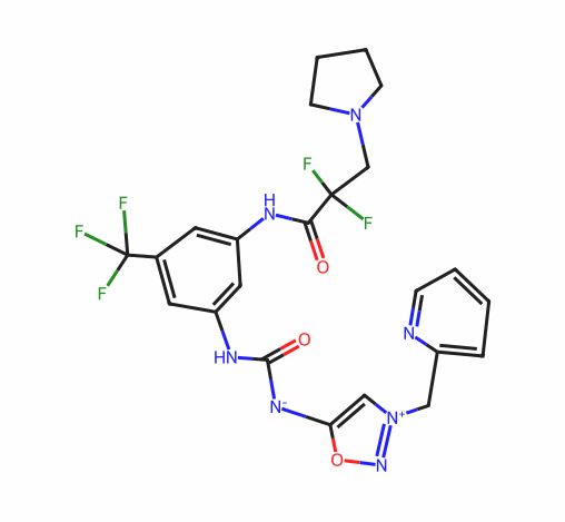 O=C([N-]c1c[n+](Cc2ccccn2)no1)Nc1cc(NC(=O)C(F)(F)CN2CCCC2)cc(C(F)(F)F)c1